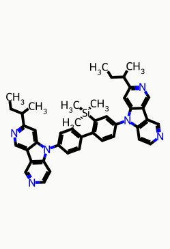 CCC(C)c1cc2c(cn1)c1cnccc1n2-c1ccc(-c2ccc(-n3c4ccncc4c4cnc(C(C)CC)cc43)cc2[Si](C)(C)C)cc1